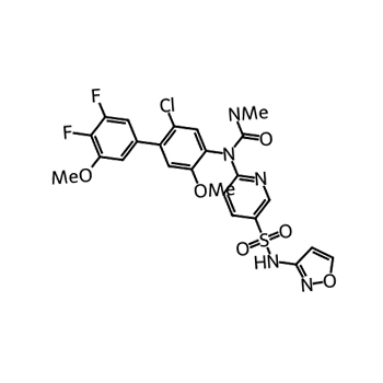 CNC(=O)N(c1ccc(S(=O)(=O)Nc2ccon2)cn1)c1cc(Cl)c(-c2cc(F)c(F)c(OC)c2)cc1OC